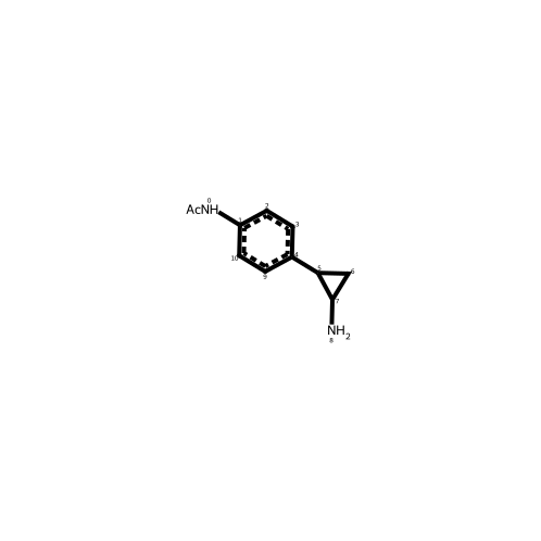 CC(=O)Nc1ccc(C2CC2N)cc1